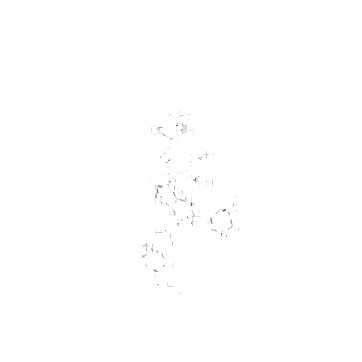 Cc1ccnc(CNc2nc(-c3cncc(F)c3)nc3c2ncn3[C@@H]2O[C@H](C(=O)NC(C)C)[C@@H](O)[C@H]2O)c1